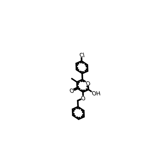 Cc1c(-c2ccc(Cl)cc2)oc(O)c(OCc2ccccc2)c1=O